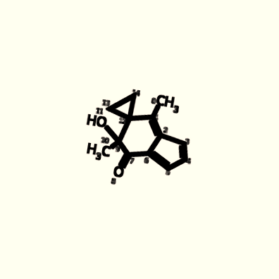 CC1=C2C=CC=C2C(=O)C(C)(O)C12CC2